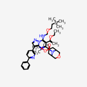 C=C(OCC)c1c(C2CC3COCC(C2)N3C(=O)OC(C)(C)C)nc2c(-c3ccc(-c4ccccc4)nc3)cnn2c1NCOCC[Si](C)(C)C